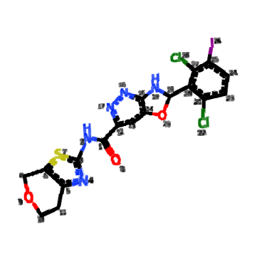 O=C(Nc1nc2c(s1)COCC2)c1cc2c(nn1)NC(c1c(Cl)ccc(I)c1Cl)O2